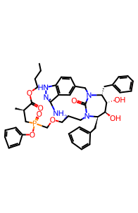 CCCCOC(=O)[C@H](C)CP(=O)(COCCCN1C(=O)N(Cc2ccc3[nH]nc(N)c3c2)[C@H](Cc2ccccc2)[C@H](O)[C@@H](O)[C@H]1Cc1ccccc1)Oc1ccccc1